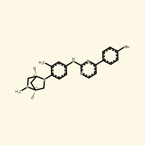 Cc1cc(Nc2nccc(-c3ccc(C(C)(C)C)cc3)n2)ccc1N1C[C@@H]2C[C@H]1CN2C